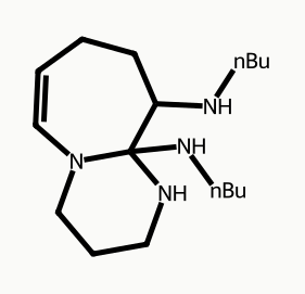 CCCCNC1CCC=CN2CCCNC12NCCCC